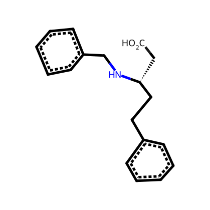 O=C(O)C[C@H](CCc1ccccc1)NCc1ccccc1